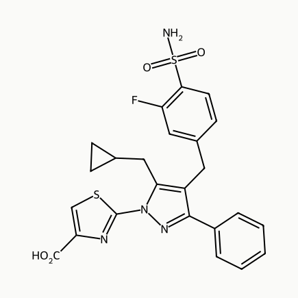 NS(=O)(=O)c1ccc(Cc2c(-c3ccccc3)nn(-c3nc(C(=O)O)cs3)c2CC2CC2)cc1F